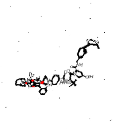 Cc1ncsc1-c1ccc(CNC(=O)[C@@H]2C[C@@H](O)CN2C(=O)[C@@H](NC(=O)[C@H]2CC[C@H](N3CC(c4cnc(N5C6CCC5CN(c5cc(-c7ccccc7O)nnc5N)C6)nc4)C3)CC2)C(C)(C)C)cc1